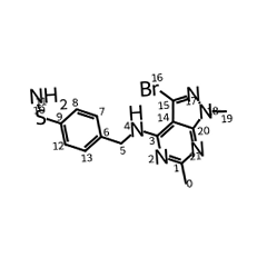 Cc1nc(NCc2ccc(SN)cc2)c2c(Br)nn(C)c2n1